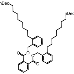 CCCCCCCCCCCCCCCCCCc1ccccc1COC(=O)c1ccccc1C(=O)OCc1ccccc1CCCCCCCCCCCCCCCCCC